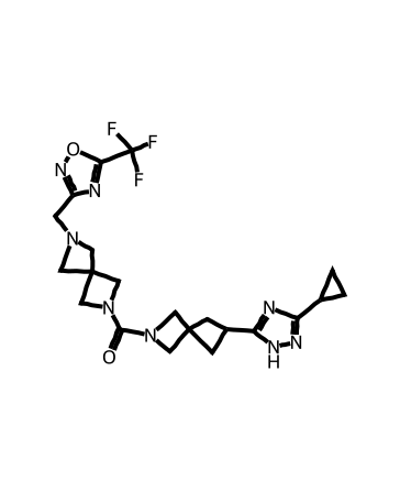 O=C(N1CC2(CC(c3nc(C4CC4)n[nH]3)C2)C1)N1CC2(CN(Cc3noc(C(F)(F)F)n3)C2)C1